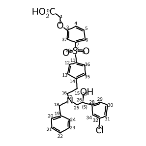 O=C(O)COc1cccc(S(=O)(=O)c2ccc(CCN(Cc3ccccc3)C[C@@H](O)c3cccc(Cl)c3)cc2)c1